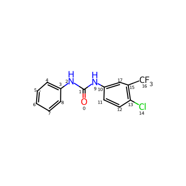 O=C(Nc1c[c]ccc1)Nc1ccc(Cl)c(C(F)(F)F)c1